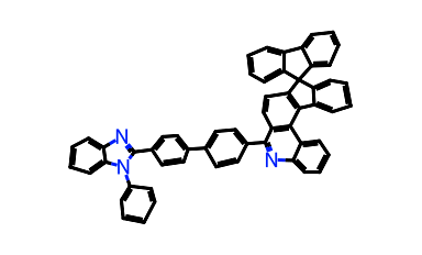 c1ccc(-n2c(-c3ccc(-c4ccc(-c5nc6ccccc6c6c7c(ccc56)C5(c6ccccc6-c6ccccc65)c5ccccc5-7)cc4)cc3)nc3ccccc32)cc1